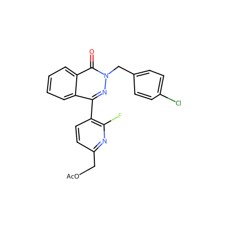 CC(=O)OCc1ccc(-c2nn(Cc3ccc(Cl)cc3)c(=O)c3ccccc23)c(F)n1